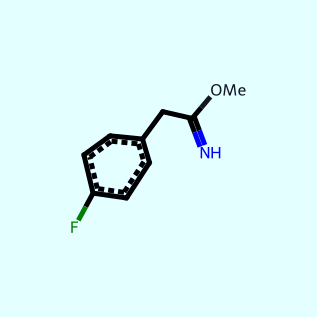 COC(=N)Cc1ccc(F)cc1